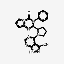 N#Cc1n[nH]c2ncnc(N3CCCC3c3nc4cccn4c(=O)n3-c3ccccc3)c12